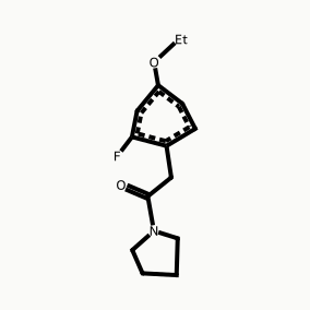 CCOc1ccc(CC(=O)N2CCCC2)c(F)c1